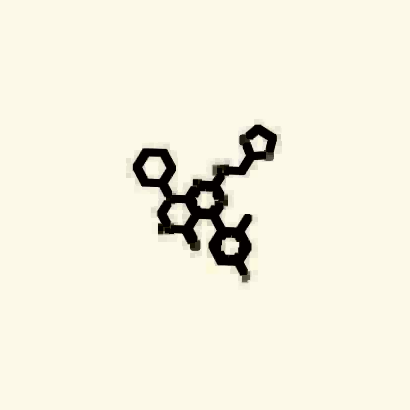 Cc1cc(F)ccc1-c1nc(NCC2OCCO2)nc2c1C(=O)NCN2C1CCCCC1